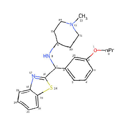 CCCOc1cccc(C(NC2CCN(C)CC2)c2nc3ccccc3s2)c1